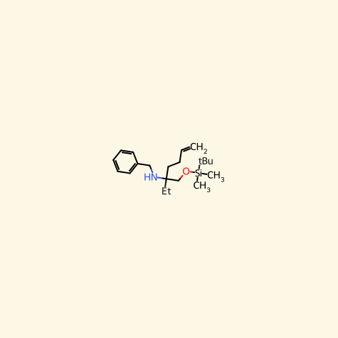 C=CCCC(CC)(CO[Si](C)(C)C(C)(C)C)NCc1ccccc1